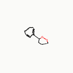 c1ccc(C2CCCOO2)cc1